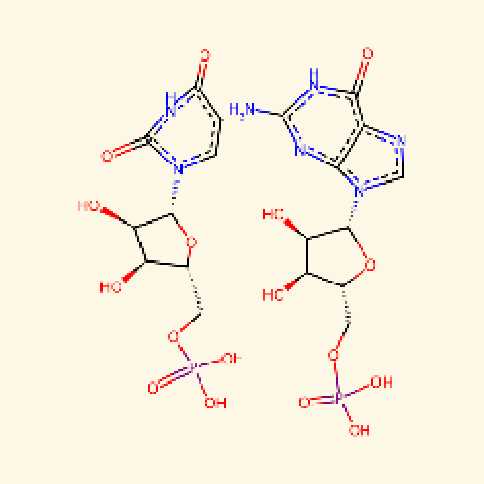 Nc1nc2c(ncn2[C@@H]2O[C@H](COP(=O)(O)O)[C@@H](O)[C@H]2O)c(=O)[nH]1.O=c1ccn([C@@H]2O[C@H](COP(=O)(O)O)[C@@H](O)[C@H]2O)c(=O)[nH]1